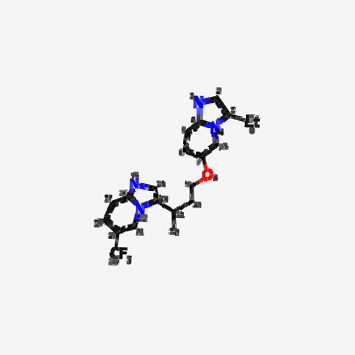 CCc1cnc2ccc(OCCC(C)c3cnc4ccc(C(F)(F)F)cn34)cn12